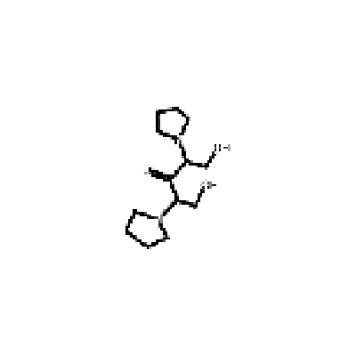 O=C(C(CO)N1CCCC1)C(CO)N1CCCC1